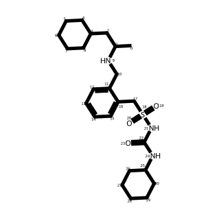 CC(CC1CCCCC1)NCc1ccccc1CS(=O)(=O)NC(=O)NC1CCCCC1